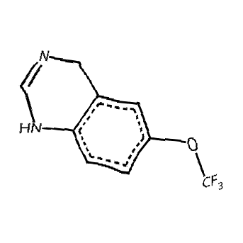 FC(F)(F)Oc1ccc2c(c1)CN=CN2